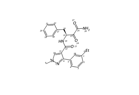 CCc1cccc(-c2nn(C)cc2C(=O)N[C@@H](Cc2ccccc2)C(=O)C(N)=O)c1